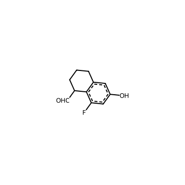 O=CC1CCCc2cc(O)cc(F)c21